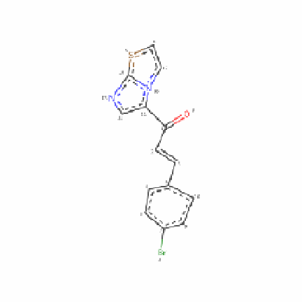 O=C(C=Cc1ccc(Br)cc1)c1cnc2sccn12